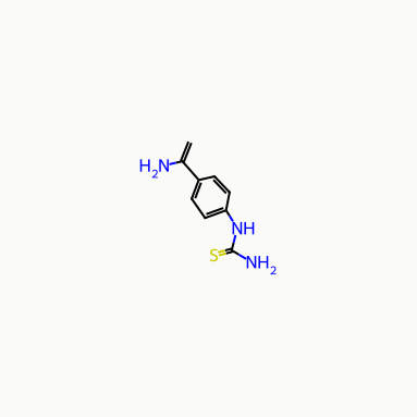 C=C(N)c1ccc(NC(N)=S)cc1